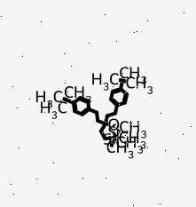 CC(C)(C)c1ccc(CCC2(CCc3ccc(C(C)(C)C)cc3)CC[Si](C)(C)[Si](C)(C)O2)cc1